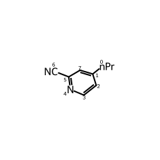 [CH2]CCc1ccnc(C#N)c1